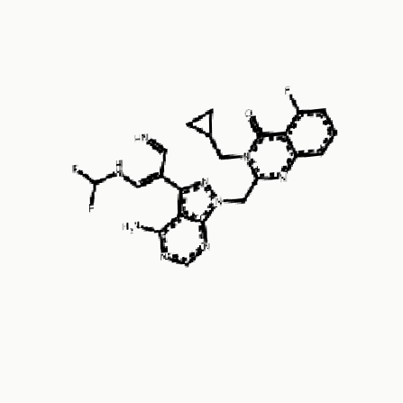 N=C/C(=C\NC(F)F)c1nn(Cc2nc3cccc(F)c3c(=O)n2CC2CC2)c2ncnc(N)c12